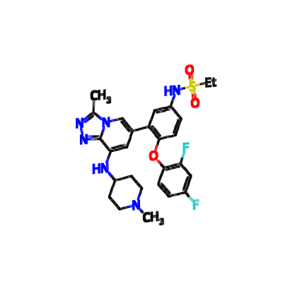 CCS(=O)(=O)Nc1ccc(Oc2ccc(F)cc2F)c(-c2cc(NC3CCN(C)CC3)c3nnc(C)n3c2)c1